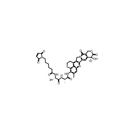 CC[C@@]1(O)C(=O)OCc2c1cc1n(c2=O)Cc2c-1nc1cc(F)c(NC(=O)[C@H](C)NC(=O)[C@@H](NC(=O)CCCCCN3C(=O)C=CC3=O)C(C)C)c3c1c2CCS3